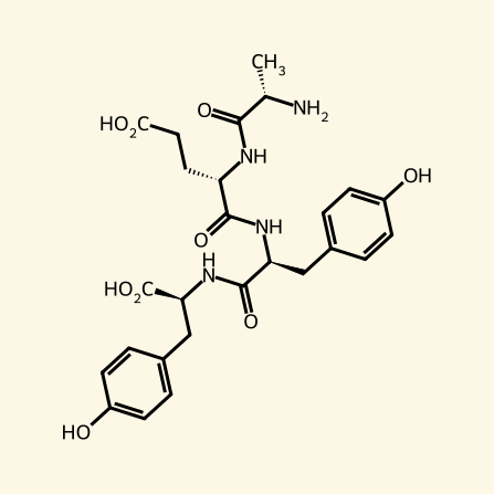 C[C@H](N)C(=O)N[C@@H](CCC(=O)O)C(=O)N[C@@H](Cc1ccc(O)cc1)C(=O)N[C@@H](Cc1ccc(O)cc1)C(=O)O